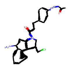 CC(=O)Nc1ccc(C=CC(=O)N2CC(CCl)c3c2cc(N)c2ccccc32)cc1